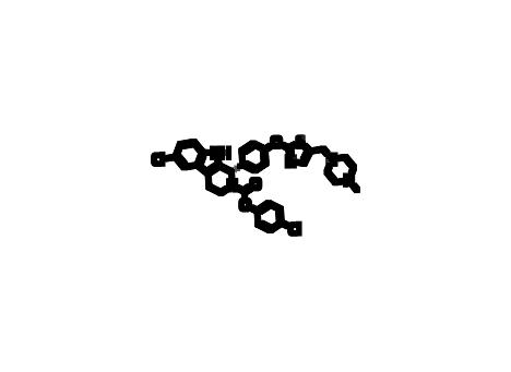 CN1CCN(Cc2cnc(Oc3ccc([C@H]4c5[nH]c6ccc(Cl)cc6c5CCN4C(=O)Oc4ccc(Cl)cc4)cc3)s2)CC1